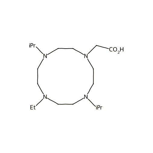 CCN1CCN(C(C)C)CCN(CC(=O)O)CCN(C(C)C)CC1